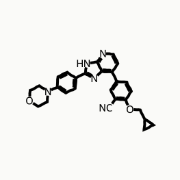 N#Cc1cc(-c2ccnc3[nH]c(-c4ccc(N5CCOCC5)cc4)nc23)ccc1OCC1CC1